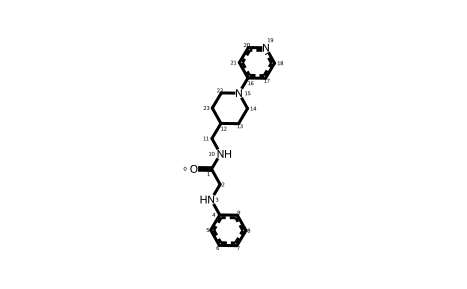 O=C(CNc1ccccc1)NCC1CCN(c2ccncc2)CC1